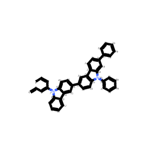 C=C/C=C(\C=C/C)n1c2ccccc2c2cc(-c3ccc4c(c3)c3ccc(-c5ccccc5)cc3n4-c3ccccc3)ccc21